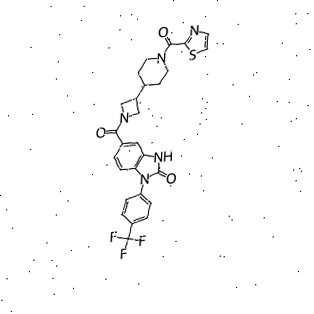 O=C(c1ccc2c(c1)[nH]c(=O)n2-c1ccc(C(F)(F)F)cc1)N1CC(C2CCN(C(=O)c3nccs3)CC2)C1